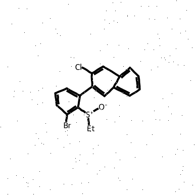 CC[S+]([O-])c1c(Br)cccc1-c1cc2ccccc2cc1Cl